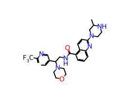 C=C(/N=C\C(=C/C)C(CNC(=O)c1cccc2nc(N3CCNC(C)C3)ccc12)N1CCOCC1)C(F)(F)F